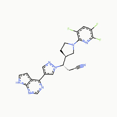 N#CC[C@@H]([C@H]1CCN(c2nc(F)c(F)cc2F)C1)n1cc(-c2ncnc3[nH]ccc23)cn1